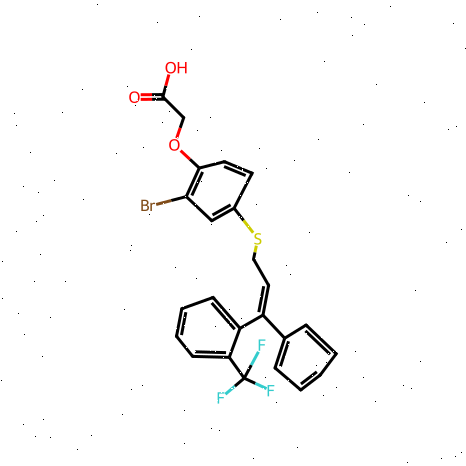 O=C(O)COc1ccc(SC/C=C(/c2ccccc2)c2ccccc2C(F)(F)F)cc1Br